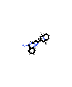 CN1[C@@H]2CCC[C@H]1CC(c1cc3nc(N)c4ccccc4n3n1)C2